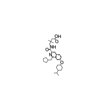 CC(C)C1CCC(Oc2ccc3cc(C(=O)NCC(C)(C)CC(=O)O)nc(CC4CCCC4)c3c2)CC1